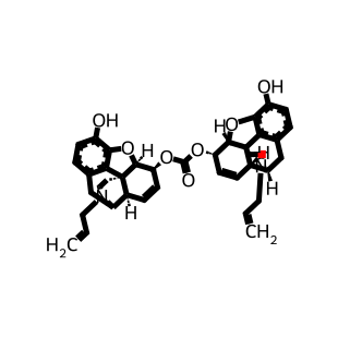 C=CCN1CC[C@]23c4c5ccc(O)c4O[C@H]2[C@@H](OC(=O)O[C@H]2C=C[C@H]4[C@H]6Cc7ccc(O)c8c7[C@@]4(CCN6CC=C)[C@H]2O8)C=C[C@H]3C1C5